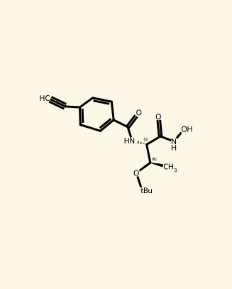 C#Cc1ccc(C(=O)N[C@H](C(=O)NO)[C@@H](C)OC(C)(C)C)cc1